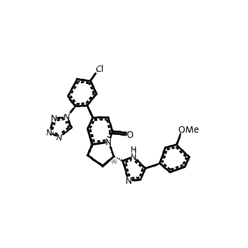 COc1cccc(-c2cnc([C@@H]3CCc4cc(-c5cc(Cl)ccc5-n5cnnn5)cc(=O)n43)[nH]2)c1